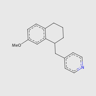 COc1ccc2c(c1)C(Cc1ccncc1)CCC2